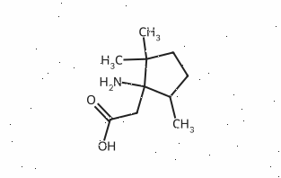 CC1CCC(C)(C)C1(N)CC(=O)O